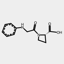 O=C(O)[C@@H]1CCN1C(=O)CNc1ccccc1